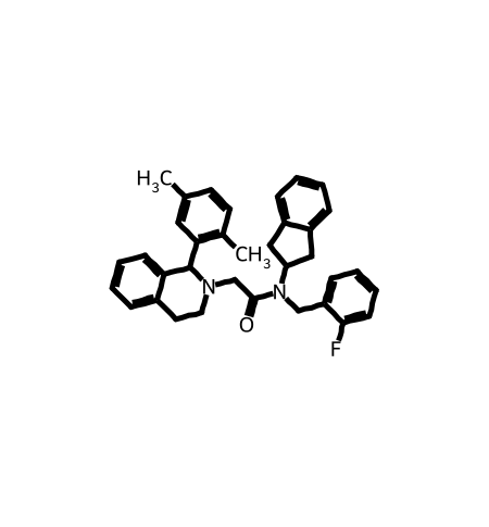 Cc1ccc(C)c(C2c3ccccc3CCN2CC(=O)N(Cc2ccccc2F)C2Cc3ccccc3C2)c1